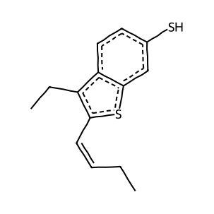 CC/C=C\c1sc2cc(S)ccc2c1CC